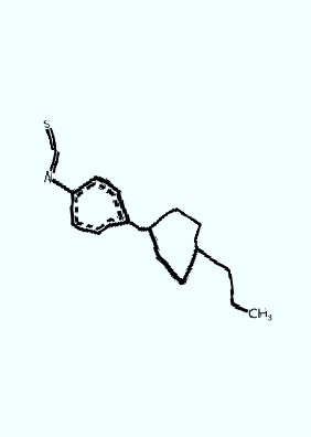 CCCC1CCC(c2ccc(N=C=S)cc2)CC1